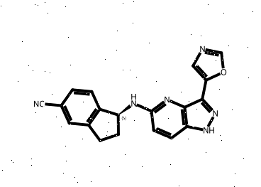 N#Cc1ccc2c(c1)CC[C@@H]2Nc1ccc2[nH]nc(-c3cnco3)c2n1